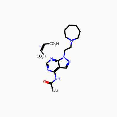 CC(C)(C)C(=O)Nc1ncnc2c1cnn2CCN1CCCCCC1.O=C(O)/C=C\C(=O)O